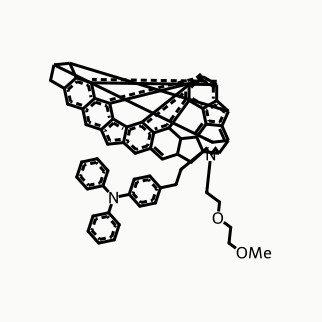 COCCOCCN1CC2C3=c4c5c6c7c4=C4C8c9c%10c(cc%11cc%12cc%13cc%14c(c%15c%13c%13c%12c%11c%10c(c97)c%13c6%15)C5C(C3)C%14)=CC8CC42C1CCc1ccc(N(c2ccccc2)c2ccccc2)cc1